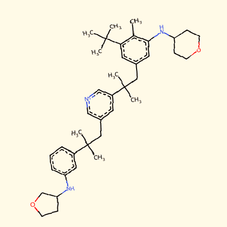 Cc1c(NC2CCOCC2)cc(CC(C)(C)c2cncc(CC(C)(C)c3cccc(NC4CCOC4)c3)c2)cc1C(C)(C)C